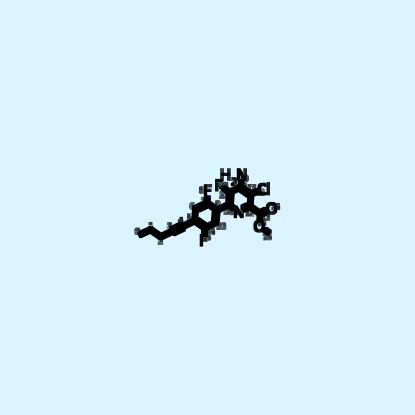 CCCC#Cc1cc(F)c(-c2nc(C(=O)OC)c(Cl)c(N)c2F)cc1F